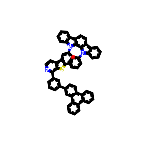 c1ccc(-n2c3ccccc3c3ccc4c5ccccc5n(-c5ccc6sc7c(-c8cccc(-c9ccc%10c%11ccccc%11c%11ccccc%11c%10c9)c8)nccc7c6c5)c4c32)cc1